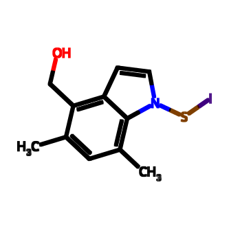 Cc1cc(C)c2c(ccn2SI)c1CO